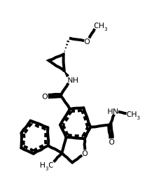 CNC(=O)c1cc(C(=O)N[C@H]2C[C@@H]2COC)cc2c1OCC2(C)c1ccccc1